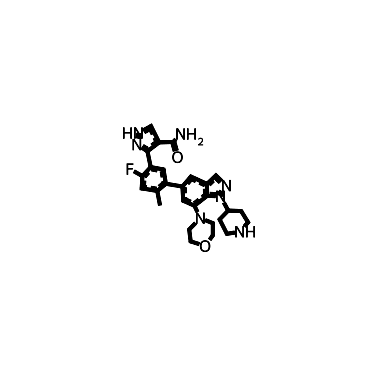 Cc1cc(F)c(-c2n[nH]cc2C(N)=O)cc1-c1cc(N2CCOCC2)c2c(cnn2C2CCNCC2)c1